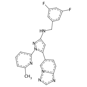 Cc1cccc(-n2nc(NCc3cc(F)cc(F)c3)cc2-c2ccc3ncnn3c2)n1